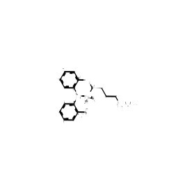 CNCCC[C@@H]1Oc2ccccc2N(c2ccccc2F)S1(=O)=O